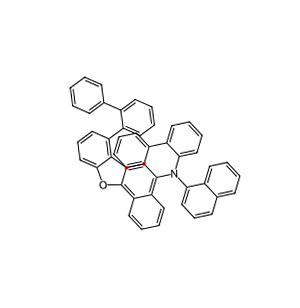 c1ccc(-c2ccccc2-c2cccc3oc4c5ccccc5c(N(c5ccccc5-c5ccccc5)c5cccc6ccccc56)cc4c23)cc1